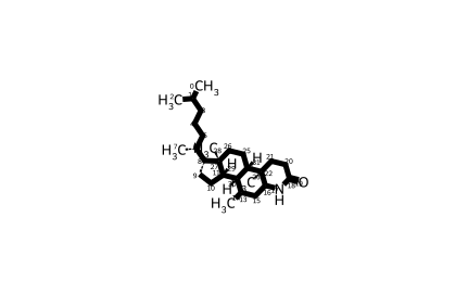 CC(C)CCC[C@@H](C)[C@H]1CC[C@H]2[C@@H]3C(C)CC4NC(=O)CC[C@]4(C)[C@H]3CC[C@]12C